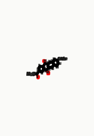 COC(=O)c1ccc2c(c1)C(=O)c1cc3ccc(OC)cc3cc1C2=O